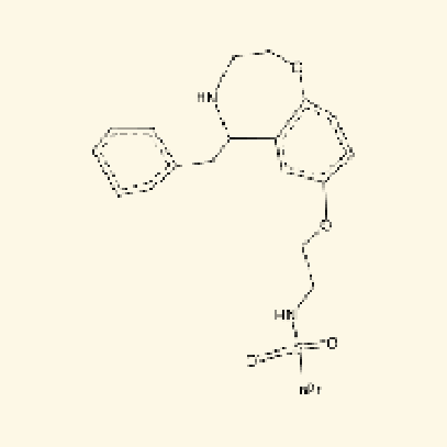 CCCS(=O)(=O)NCCOc1ccc2c(c1)C(Cc1ccccc1)NCCO2